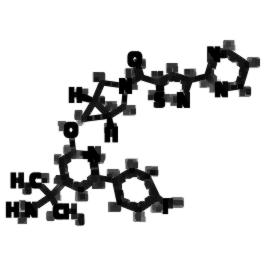 CC(C)(N)c1cc(O[C@@H]2[C@@H]3CN(C(=O)c4cc(-c5ncccn5)ns4)C[C@@H]32)nc(-c2ccc(F)cc2)c1